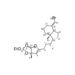 CCOC(=O)O[C@@]1(C)C=C(CC[C@@H](C)[C@H]2CCC3C(=CBr)CCC[C@]32C)OC1=O